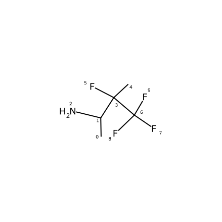 CC(N)C(C)(F)C(F)(F)F